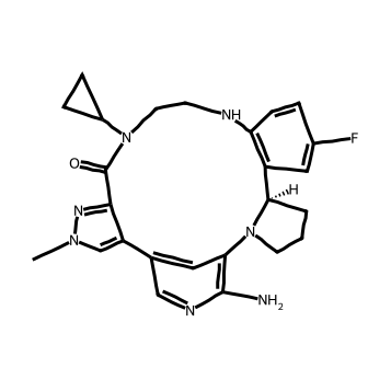 Cn1cc2c(n1)C(=O)N(C1CC1)CCNc1ccc(F)cc1[C@H]1CCCN1c1cc-2cnc1N